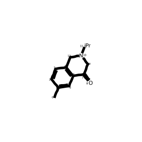 Cc1ccc2c(c1)C(=O)CN(C(C)C)C2